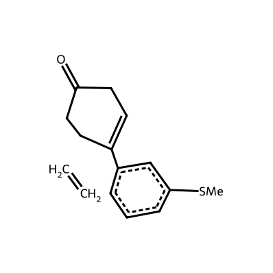 C=C.CSc1cccc(C2=CCC(=O)CC2)c1